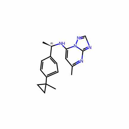 Cc1cc(N[C@H](C)c2ccc(C3(C)CC3)cc2)n2ncnc2n1